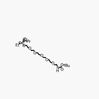 CCOP(OCCOCCOCCOCCOCCOCCNC(=O)OC(C)(C)C)N(C(C)C)C(C)C